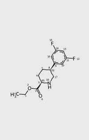 CCOC(=O)[C@H]1CC[C@@H](c2cc(F)cc(F)c2)CN1